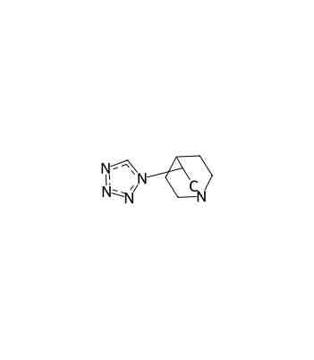 c1nnnn1C1CN2CCC1CC2